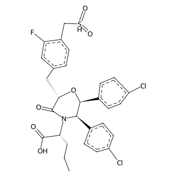 CCC[C@H](C(=O)O)N1C(=O)[C@H](Cc2ccc(C[SH](=O)=O)c(F)c2)O[C@@H](c2ccc(Cl)cc2)[C@H]1c1ccc(Cl)cc1